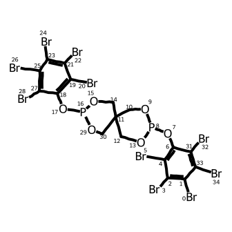 Brc1c(Br)c(Br)c(OP2OCC3(CO2)COP(Oc2c(Br)c(Br)c(Br)c(Br)c2Br)OC3)c(Br)c1Br